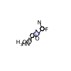 C[C@H]1CN(C2=CN3C(=O)\C=C(c4cc(F)cc(C#N)c4)/C=C/C=C/3C=C2)CCN1